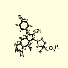 CC(C)c1c(C2CC[C@@](F)(C(=O)O)C2)c2c(F)c3[nH]ncc3cc2n1-c1ccc(F)cc1